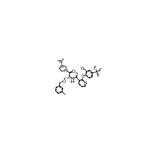 Cc1cccc(COC[C@@H](NC(=O)c2cccnc2Oc2ccc(C(F)(F)F)cc2Cl)C(=O)N2CC[C@@H](N(C)C)C2)c1